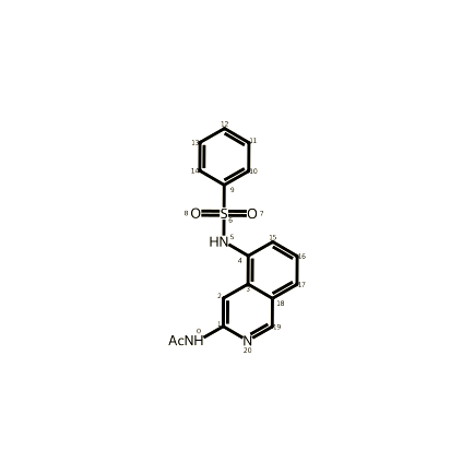 CC(=O)Nc1cc2c(NS(=O)(=O)c3ccccc3)cccc2cn1